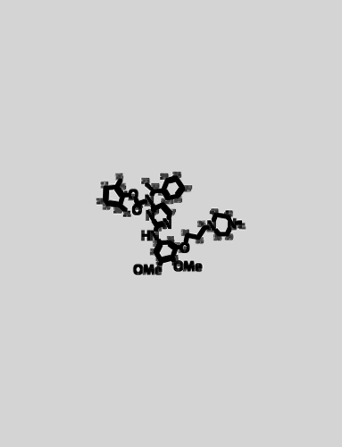 COc1cc(Nc2nccc(N(C(=O)Oc3c(C)cccc3C)[C@@H](C)c3ccccc3)n2)cc(OCCCN2CCN(C)CC2)c1OC